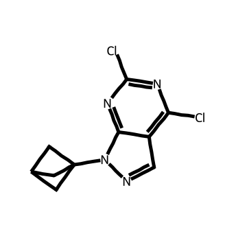 Clc1nc(Cl)c2cnn(C34CC(C3)C4)c2n1